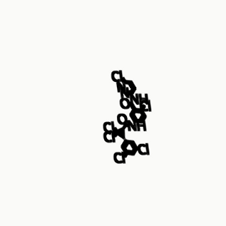 O=C(Nc1ccc(Cl)nn1)c1cc(NC(=O)[C@H]2[C@H](c3cc(Cl)cc(Cl)c3)C2(Cl)Cl)ccc1Cl